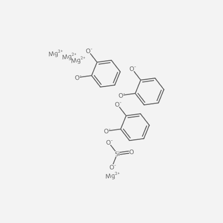 O=[Si]([O-])[O-].[Mg+2].[Mg+2].[Mg+2].[Mg+2].[O-]c1ccccc1[O-].[O-]c1ccccc1[O-].[O-]c1ccccc1[O-]